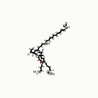 CCCCO[C@@H](C)CCC[C@@H](CCC(C)(C)[C@H](C)C[C@H](OCCCN)[C@@]1(C)[C@H](C)CC[C@@H]1[C@H](C)CCCNCCCCCCCCCC[Si](C)(C)C)OCCCN